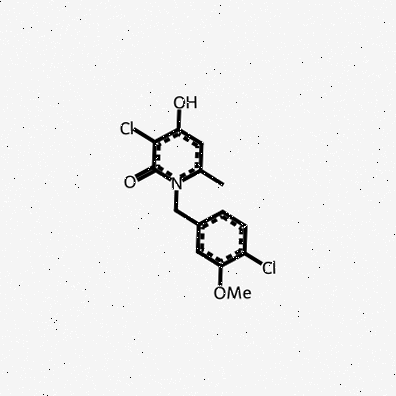 COc1cc(Cn2c(C)cc(O)c(Cl)c2=O)ccc1Cl